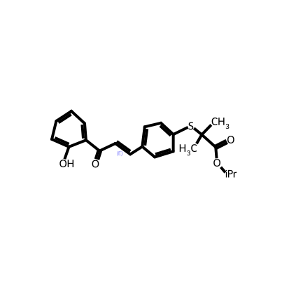 CC(C)OC(=O)C(C)(C)Sc1ccc(/C=C/C(=O)c2ccccc2O)cc1